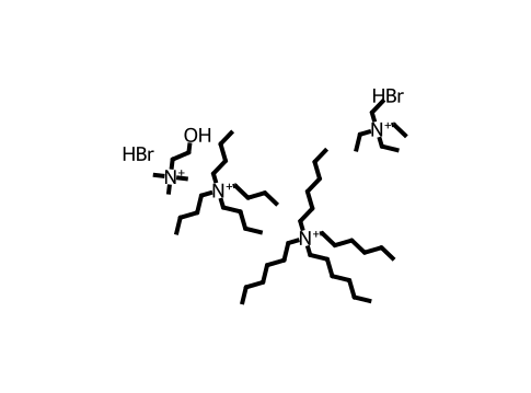 Br.Br.CCCCCC[N+](CCCCCC)(CCCCCC)CCCCCC.CCCC[N+](CCCC)(CCCC)CCCC.CC[N+](CC)(CC)CC.C[N+](C)(C)CCO